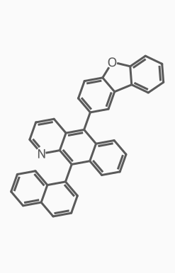 c1ccc2c(-c3c4ccccc4c(-c4ccc5oc6ccccc6c5c4)c4cccnc34)cccc2c1